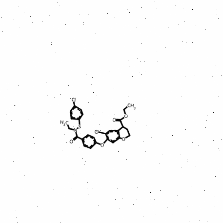 CCOC(=O)C1CCOc2cc(Oc3ccc(C(=O)N(CC)Sc4ccc(Cl)cc4)cc3)c(Cl)cc21